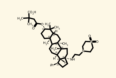 CC(C)[C@@H]1CC[C@]2(NCCN3CCS(=O)(=O)CC3)CC[C@]3(C)[C@H](CCC4[C@@]5(C)CC[C@H](OC(=O)CC(C)(C)C(=O)O)C(C)(C)[C@@H]5CC[C@]43C)[C@@H]12